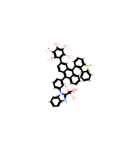 Bc1c(B)c(B)c(-c2ccc3c(-c4cccc(-n5c(C(B)(B)O)nc6ccccc65)c4)c4ccccc4c(-c4cccc5sc6ccccc6c45)c3c2)c(B)c1B